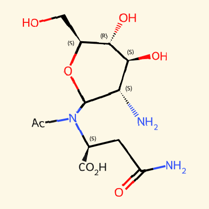 CC(=O)N(C1O[C@@H](CO)[C@H](O)[C@@H](O)[C@@H]1N)[C@@H](CC(N)=O)C(=O)O